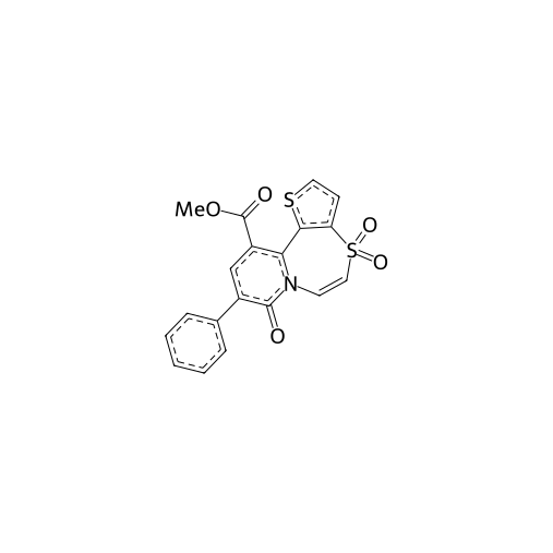 COC(=O)c1cc(-c2ccccc2)c(=O)n2c1-c1sccc1S(=O)(=O)C=C2